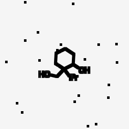 CC(C)C1(CO)CCCCC1O